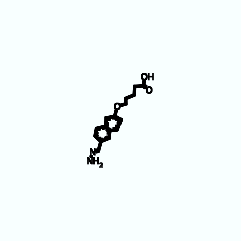 NN=Cc1ccc2cc(OCCCCC(=O)O)ccc2c1